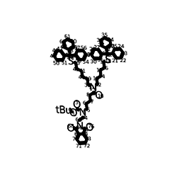 CC(C)(C)OC(=O)N(CCCCC(=O)N(CCCCCCSC(c1ccccc1)(c1ccccc1)c1ccccc1)CCCCCCSC(c1ccccc1)(c1ccccc1)c1ccccc1)CCN1C(=O)c2ccccc2C1=O